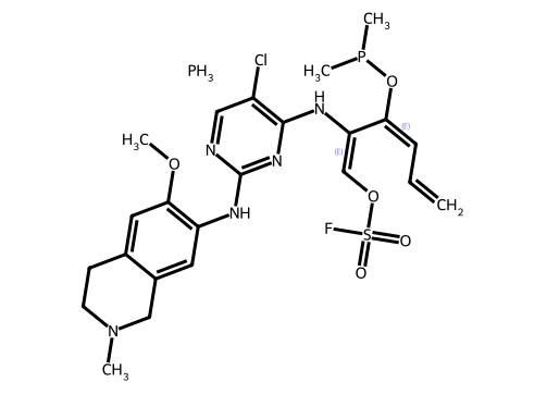 C=C/C=C(OP(C)C)\C(=C/OS(=O)(=O)F)Nc1nc(Nc2cc3c(cc2OC)CCN(C)C3)ncc1Cl.P